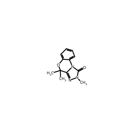 Cn1nc2n(c1=O)-c1ccccc1OC2(C)C